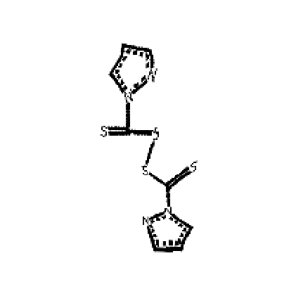 S=C(SSC(=S)n1cccn1)n1cccn1